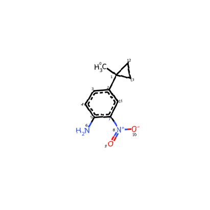 CC1(c2ccc(N)c([N+](=O)[O-])c2)CC1